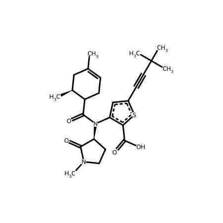 CC1=CCC(C(=O)N(c2cc(C#CC(C)(C)C)sc2C(=O)O)[C@H]2CCN(C)C2=O)[C@@H](C)C1